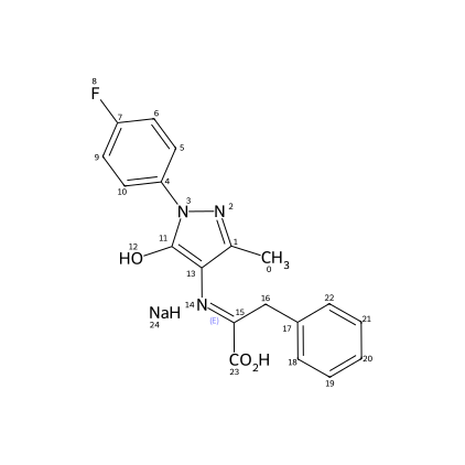 Cc1nn(-c2ccc(F)cc2)c(O)c1/N=C(\Cc1ccccc1)C(=O)O.[NaH]